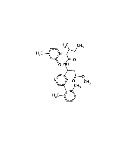 CCC(C)C(C(=O)NC(CC(=O)OC)c1cncc(-c2c(C)cccc2C)c1)n1ccc(C)cc1=O